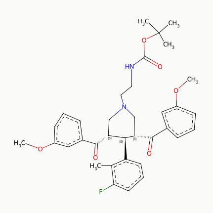 COc1cccc(C(=O)[C@H]2CN(CCNC(=O)OC(C)(C)C)C[C@@H](C(=O)c3cccc(OC)c3)[C@@H]2c2cccc(F)c2C)c1